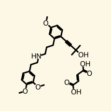 COc1ccc(C#CC(C)(C)O)c(CCCNCCc2ccc(OC)c(OC)c2)c1.O=C(O)C=CC(=O)O